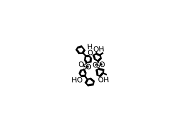 Cc1cc(S(=O)(=O)c2ccc(O)c(C)c2)ccc1O.O=S(=O)(c1ccc(O)c(-c2ccccc2)c1)c1ccc(O)c(-c2ccccc2)c1